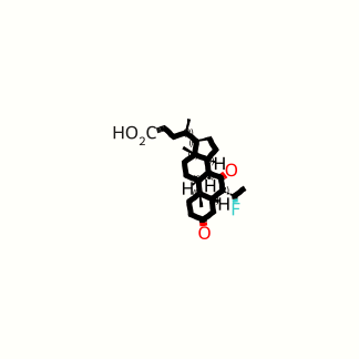 CC(F)[C@H]1C(=O)[C@@H]2[C@H](CC[C@]3(C)[C@@H]([C@H](C)CCC(=O)O)CC[C@@H]23)[C@@]2(C)CCC(=O)C[C@@H]12